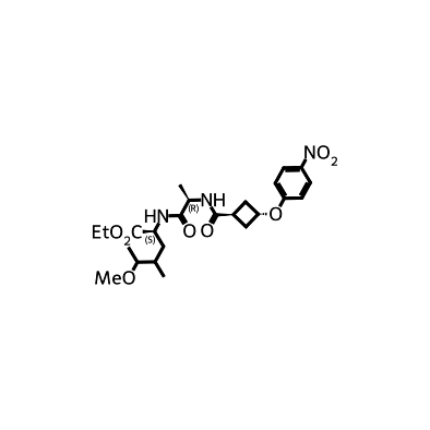 CCOC(=O)[C@H](CC(C)C(C)OC)NC(=O)[C@@H](C)NC(=O)[C@H]1C[C@H](Oc2ccc([N+](=O)[O-])cc2)C1